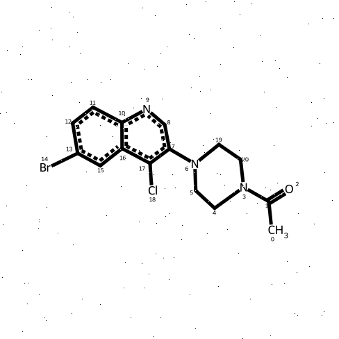 CC(=O)N1CCN(c2cnc3ccc(Br)cc3c2Cl)CC1